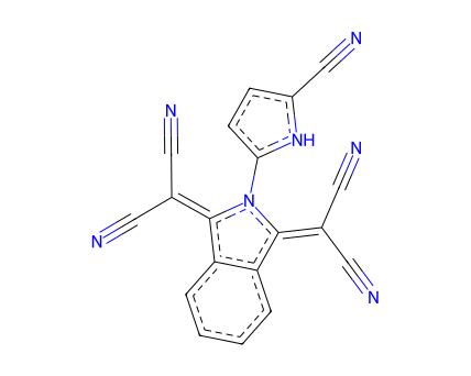 N#CC(C#N)=c1c2ccccc2c(=C(C#N)C#N)n1-c1ccc(C#N)[nH]1